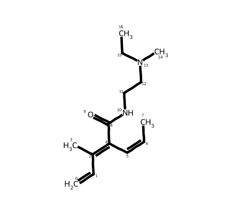 C=C/C(C)=C(\C=C/C)C(=O)NCCN(C)CC